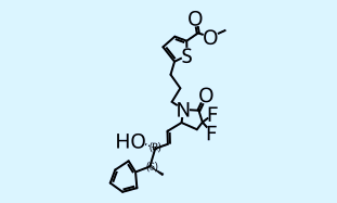 COC(=O)c1ccc(CCCN2C(=O)C(F)(F)CC2C=C[C@@H](O)[C@@H](C)c2ccccc2)s1